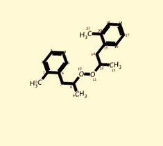 Cc1ccccc1CC(C)OOC(C)Cc1ccccc1C